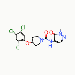 Cn1nccc(NC(=O)N2CCC(Oc3cc(Cl)c(Cl)cc3Cl)CC2)c1=O